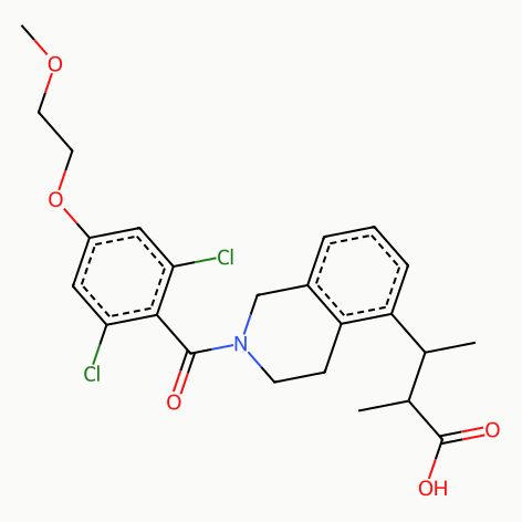 COCCOc1cc(Cl)c(C(=O)N2CCc3c(cccc3C(C)C(C)C(=O)O)C2)c(Cl)c1